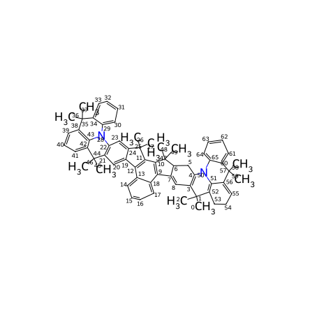 CC1(C)C2=C(CC3C(=C2)c2c(c4c(c5ccccc25)-c2cc5c(cc2C4(C)C)N2c4ccccc4C(C)(C)c4cccc(c42)C5(C)C)C3(C)C)N2C3=C1CCC=C3C(C)(C)c1ccccc12